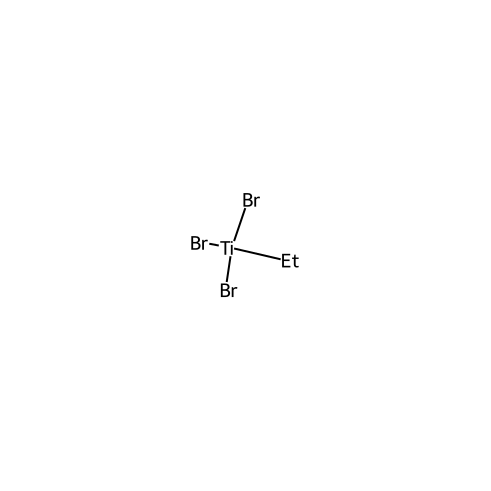 C[CH2][Ti]([Br])([Br])[Br]